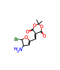 CC1(C)OC(=O)C(=CC2=CC(N)C(Br)O2)C(=O)O1